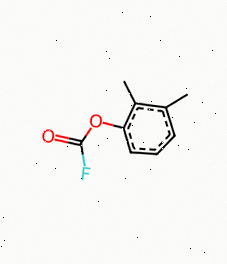 Cc1cccc(OC(=O)F)c1C